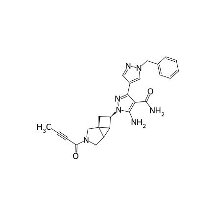 CC#CC(=O)N1CC2C3[C@H](n4nc(-c5cnn(Cc6ccccc6)c5)c(C(N)=O)c4N)C[C@]23C1